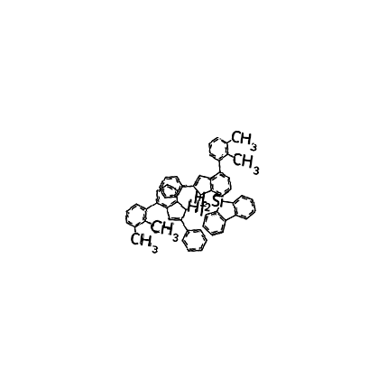 Cc1cccc(-c2cccc3c2C=C(c2ccccc2)[CH]3[Hf]([c]2cccc3c2[SiH2]c2ccccc2-3)[CH]2C(c3ccccc3)=Cc3c(-c4cccc(C)c4C)cccc32)c1C